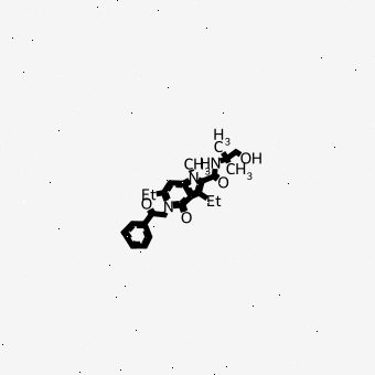 CCc1c(C(=O)NC(C)(C)CO)n(C)c2cc(CC)n(CC(=O)c3ccccc3)c(=O)c12